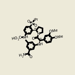 COc1ccc([C@@H](Nc2cc(C)cc(C(N)=O)c2)C(=O)N2CCC[C@@H]2c2cc(NC(=O)O)ccc2S(=O)(=O)C(C)C)cc1OC